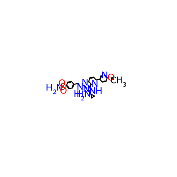 COc1ccc(-c2ccc3nc(NCc4ccc(S(N)(=O)=O)cc4)nc(NC4(N)CC4)c3n2)cn1